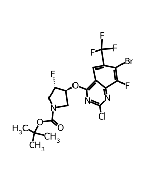 CC(C)(C)OC(=O)N1C[C@H](Oc2nc(Cl)nc3c(F)c(Br)c(C(F)(F)F)cc23)[C@@H](F)C1